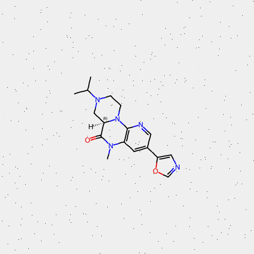 CC(C)N1CCN2c3ncc(-c4cnco4)cc3N(C)C(=O)[C@H]2C1